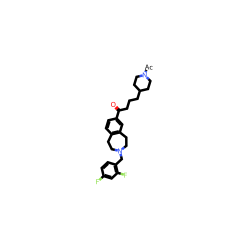 CC(=O)N1CCC(CCCC(=O)c2ccc3c(c2)CCN(Cc2ccc(F)cc2F)CC3)CC1